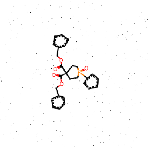 O=C(OCc1ccccc1)C1(C(=O)OCc2ccccc2)CCP(=O)(c2ccccc2)CC1